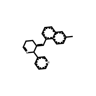 Cc1ccc2c(/C=C3\CCC=NC3c3cccnc3)cccc2c1